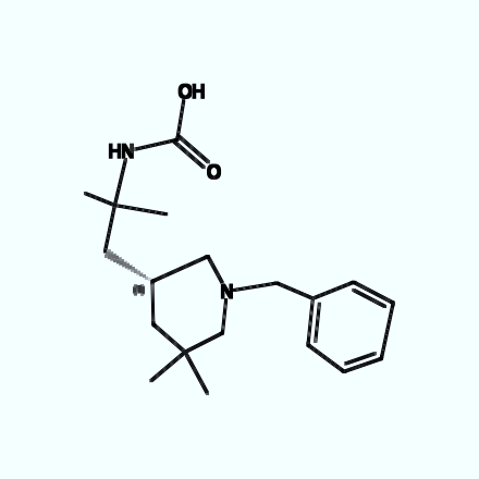 CC1(C)C[C@H](CC(C)(C)NC(=O)O)CN(Cc2ccccc2)C1